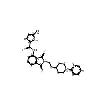 O=C(Nc1cccc2c1C(=O)N(CCC1CCN(c3ccccn3)CC1)C2=O)c1ccc(Cl)s1